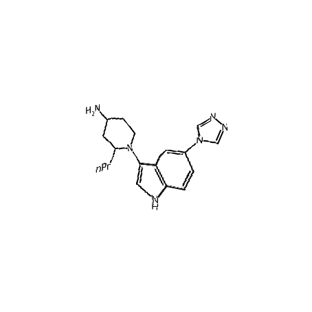 CCCC1CC(N)CCN1c1c[nH]c2ccc(-n3cnnc3)cc12